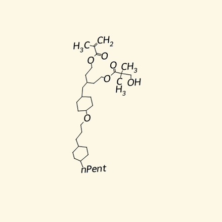 C=C(C)C(=O)OCCC(CCOC(=O)C(C)(C)CO)CC1CCC(OCCCC2CCC(CCCCC)CC2)CC1